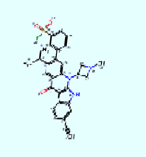 C#Cc1ccc2c(c1)[nH]c1c2c(=O)c2cc(C(C)C)c(-c3cccc(S(=O)(=O)F)c3)cc2n1C1CN(C)C1